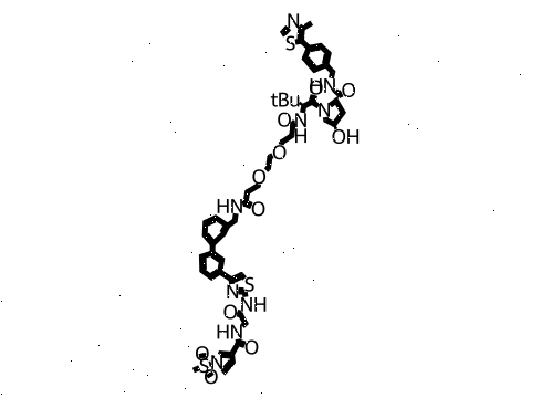 Cc1ncsc1-c1ccc(CNC(=O)[C@@H]2C[C@@H](O)CN2C(=O)[C@@H](NC(=O)CCOCCOCCC(=O)NCc2cccc(-c3cccc(-c4csc(NC(=O)CNC(=O)c5ccn(S(C)(=O)=O)c5)n4)c3)c2)C(C)(C)C)cc1